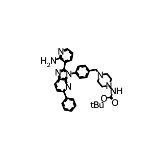 CC(C)(C)OC(=O)NN1CCN(Cc2ccc(-n3c(-c4cccnc4N)nc4ccc(-c5ccccc5)nc43)cc2)CC1